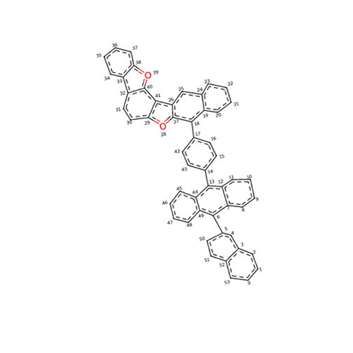 c1ccc2cc(-c3c4ccccc4c(-c4ccc(-c5c6ccccc6cc6c5oc5ccc7c8ccccc8oc7c56)cc4)c4ccccc34)ccc2c1